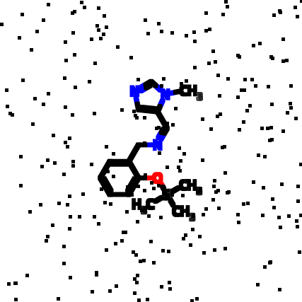 Cn1cncc1/C=N\Cc1ccccc1O[Si](C)(C)C